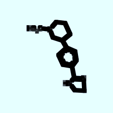 O=C(O)N1CCCC(c2ccc(C3=NCCN3)cc2)C1